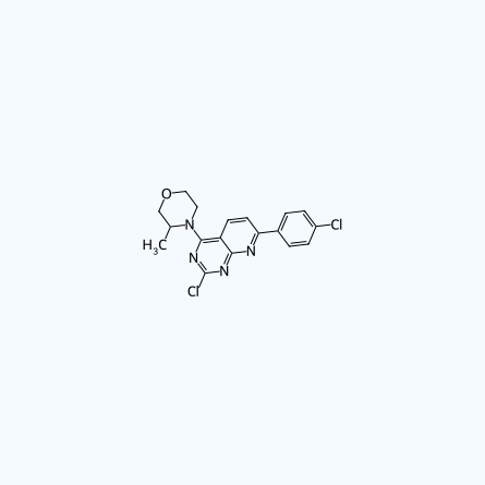 CC1COCCN1c1nc(Cl)nc2nc(-c3ccc(Cl)cc3)ccc12